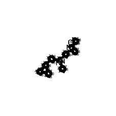 c1ccc(-c2nc(-c3ccc(-c4nc5oc6ccccc6c5c5ccccc45)cc3)cc(-c3cccc(-c4ccc5c6ccccc6c6ccccc6c5c4)c3)n2)cc1